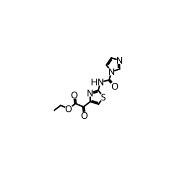 CCOC(=O)C(=O)c1csc(NC(=O)n2ccnc2)n1